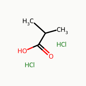 CC(C)C(=O)O.Cl.Cl